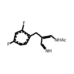 CC(=O)N/C=C(\C=N)Cc1ccc(F)cc1F